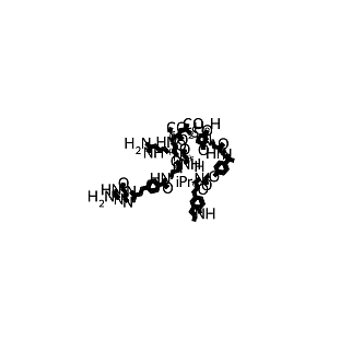 CC(=NNC(=O)CCN1C(=O)CC(SCC(CC(=O)[C@@H](CC(=O)O)NC(=O)[C@@H](CCCCC(=N)N)NC(=O)[C@H](C)NC(=O)CCCNC(=O)c2ccc(CCc3cnc4nc(N)[nH]c(=O)c4n3)cc2)C(=O)O)C1=O)c1ccc(OCC(=O)N[C@H](C(=O)Cc2ccc3[nH]c(C)cc3c2)C(C)C)cc1